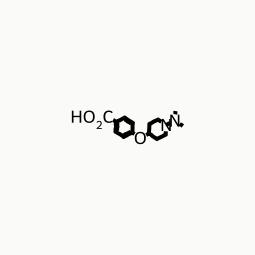 CN(C)N1CCC(Oc2ccc(C(=O)O)cc2)CC1